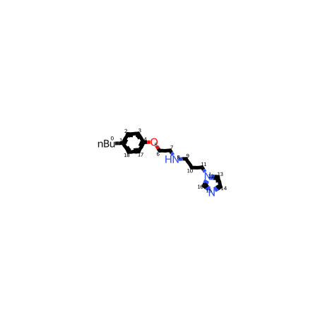 CCCCc1ccc(OCCNCCCn2ccnc2)cc1